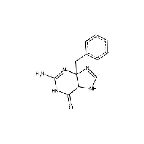 NC1=NC2(Cc3ccccc3)N=CNC2C(=O)N1